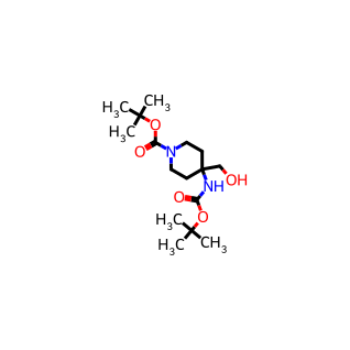 CC(C)(C)OC(=O)NC1(CO)CCN(C(=O)OC(C)(C)C)CC1